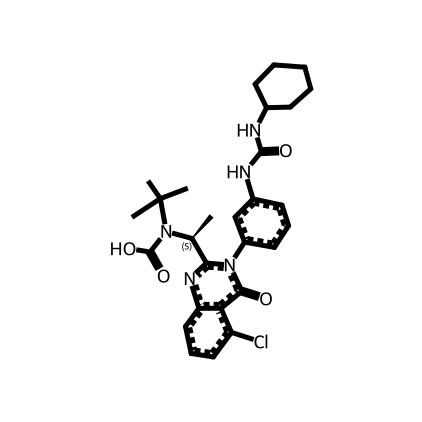 C[C@@H](c1nc2cccc(Cl)c2c(=O)n1-c1cccc(NC(=O)NC2CCCCC2)c1)N(C(=O)O)C(C)(C)C